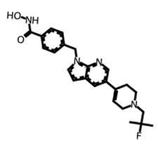 CC(C)(F)CN1CC=C(c2cnc3c(ccn3Cc3ccc(C(=O)NO)cc3)c2)CC1